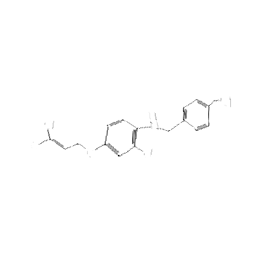 ClC(Cl)=CCOc1ccc(NCc2ccc(Cl)cc2)c(Cl)c1